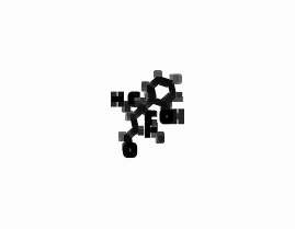 CC(C)(CCC=O)c1ccccc1O